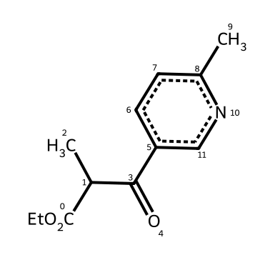 CCOC(=O)C(C)C(=O)c1ccc(C)nc1